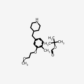 CC(C)(C)OC=O.COCCOc1cc(CC2CCNCC2)ccc1C